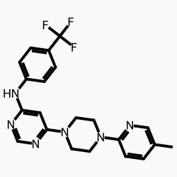 Cc1ccc(N2CCN(c3cc(Nc4ccc(C(F)(F)F)cc4)ncn3)CC2)nc1